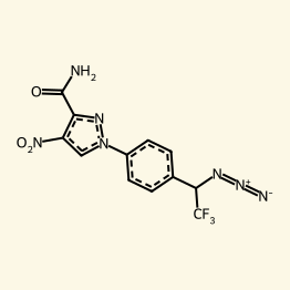 [N-]=[N+]=NC(c1ccc(-n2cc([N+](=O)[O-])c(C(N)=O)n2)cc1)C(F)(F)F